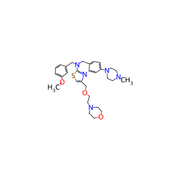 COc1cccc(CN(Cc2ccc(N3CCN(C)CC3)cc2)c2nc(COCCN3CCOCC3)cs2)c1